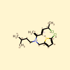 C=C(/C=C/C(C)Cl)N(CCC(C)C)Cc1ccc(Cl)s1